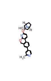 Cc1cc(-c2ccc3c(c2)COc2nc(OC4C[C@H]5CC[C@@H](C4)N5C(=O)O)ccc2-3)ccn1